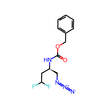 [N-]=[N+]=NC[C@@H](CC(F)F)NC(=O)OCc1ccccc1